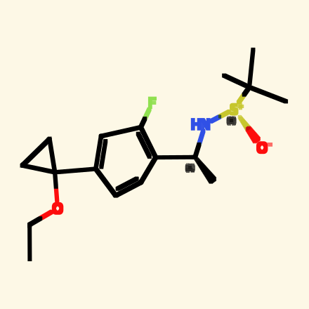 CCOC1(c2ccc([C@H](C)N[S@+]([O-])C(C)(C)C)c(F)c2)CC1